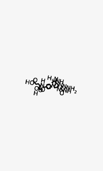 NNC(=O)c1nc2nc(N)[nH]c(=O)c2nc1CNc1ccc(C(=O)NC(CCC(=O)O)C(=O)O)cc1